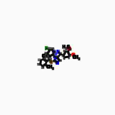 COc1ccc(C(N)c2cnc(SCc3c(C)cccc3C)n2-c2ccc(F)cc2)cc1OC